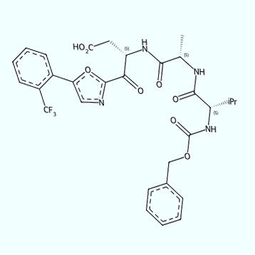 CC(C)[C@H](NC(=O)OCc1ccccc1)C(=O)N[C@@H](C)C(=O)N[C@@H](CC(=O)O)C(=O)c1ncc(-c2ccccc2C(F)(F)F)o1